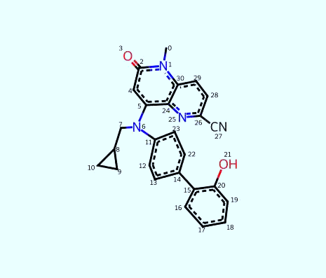 Cn1c(=O)cc(N(CC2CC2)c2ccc(-c3ccccc3O)cc2)c2nc(C#N)ccc21